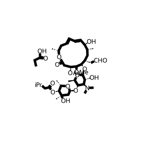 CCC(=O)O.COC1[C@@H](O[C@@H]2O[C@H](C)[C@@H](O[C@H]3C[C@@](C)(O)[C@H](OC(=O)CC(C)C)[C@H](C)O3)[C@H](N(C)C)[C@H]2O)[C@@H](CC=O)C[C@@H](C)[C@@H](O)/C=C/C=C/C[C@@H](C)OC(=O)C[C@H]1OC(C)=O